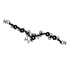 N#CCCCOc1ccc(COc2ccc(/C=C/C(=O)OCCc3c(N)ccc(NCCOC(=O)/C=C/c4ccc(OC(=O)c5ccc(OCCCC#N)cc5)cc4)c3N)cc2)cc1